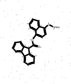 CCCCCCSc1ccc(OC(=O)C2c3ccccc3-c3ccccc32)c2ccccc12